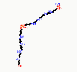 NOP(=O)(O)OCCCCNCCCNCCCCNCCCNCCCCOP(=O)(O)OCCCCNCCCNCCCCNCCCNCCCCO